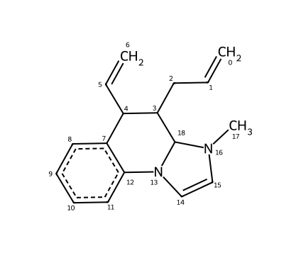 C=CCC1C(C=C)c2ccccc2N2C=CN(C)C12